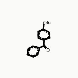 CCCCc1ccc(C(=O)c2ccccc2)cc1